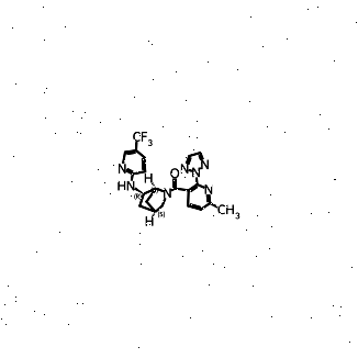 Cc1ccc(C(=O)N2C[C@H]3C[C@@H](Nc4ccc(C(F)(F)F)cn4)[C@@H]2C3)c(-n2nccn2)n1